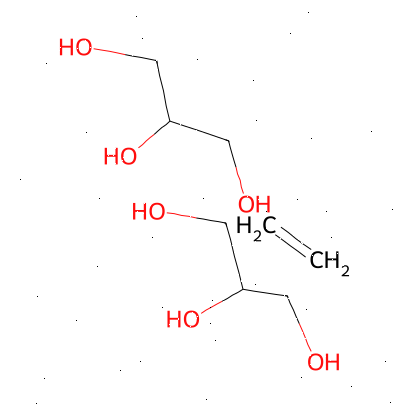 C=C.OCC(O)CO.OCC(O)CO